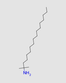 CCCCCCCCCCCCCCCC(C)(C)N